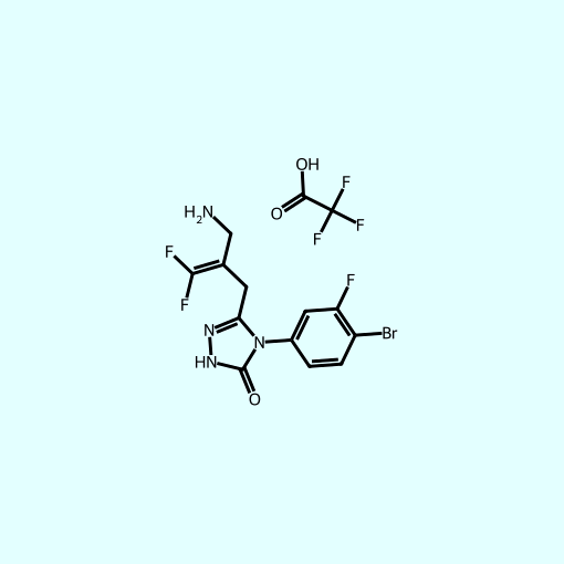 NCC(Cc1n[nH]c(=O)n1-c1ccc(Br)c(F)c1)=C(F)F.O=C(O)C(F)(F)F